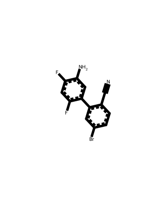 N#Cc1ccc(Br)cc1-c1cc(N)c(F)cc1F